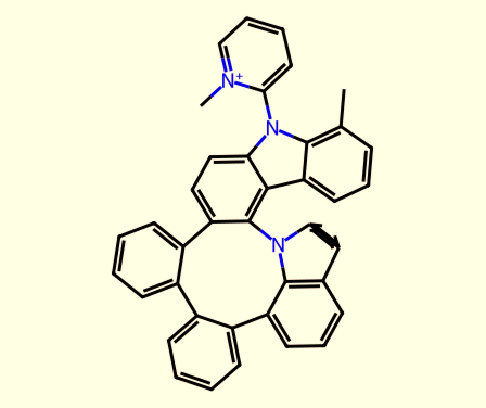 Cc1cccc2c3c(ccc4c5ccccc5c5ccccc5c5cccc6c7ccccc7n(c56)c43)n(-c3cccc[n+]3C)c12